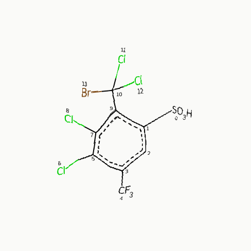 O=S(=O)(O)c1cc(C(F)(F)F)c(Cl)c(Cl)c1C(Cl)(Cl)Br